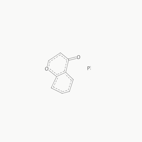 O=c1ccoc2ccccc12.[P]